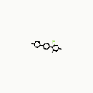 CC1CCC(C2CCC(C3C(C)CC(C)CC3F)CC2)CC1